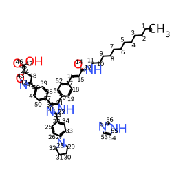 CCCCCCCCCCCCNC(=O)/C=C/c1ccc(-c2[nH]c(-c3ccc(N4CCCC4)cc3)nc2-c2ccc(C3=NOC(C(=O)O)C3)cc2)cc1.c1c[nH]cn1